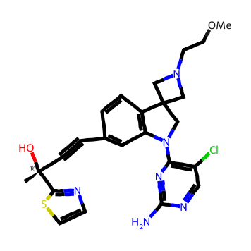 COCCN1CC2(C1)CN(c1nc(N)ncc1Cl)c1cc(C#C[C@@](C)(O)c3nccs3)ccc12